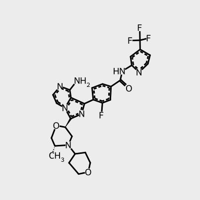 C[C@@H]1CO[C@@H](c2nc(-c3ccc(C(=O)Nc4cc(C(F)(F)F)ccn4)cc3F)c3c(N)nccn23)CN1C1CCOCC1